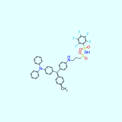 C=c1ccc(=C(c2ccc(NCCCS(=O)(=O)NS(=O)(=O)c3c(F)c(F)c(F)c(F)c3F)cc2)c2ccc(N(c3ccccc3)c3ccccc3)cc2)cc1